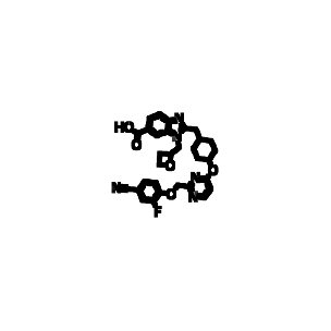 N#Cc1ccc(OCc2nccc(OC3CCC(Cc4nc5ccc(C(=O)O)cc5n4CC4CCO4)CC3)n2)c(F)c1